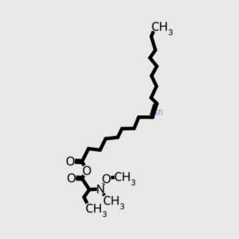 CCCCCCCC/C=C\CCCCCCCC(=O)OC(=O)C(CC)N(C)OC